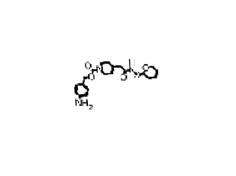 Nc1ccc(COC(=O)N2CCC(CC(=O)NOC3CCCCO3)CC2)cc1